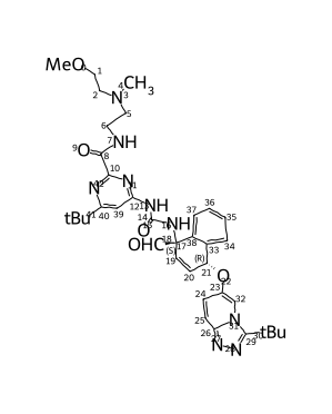 COCCN(C)CCNC(=O)c1nc(NC(=O)N[C@@]2(C=O)C=C[C@@H](Oc3ccc4nnc(C(C)(C)C)n4c3)c3ccccc32)cc(C(C)(C)C)n1